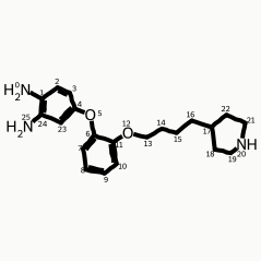 Nc1ccc(Oc2ccccc2OCCCCC2CCNCC2)cc1N